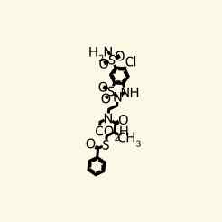 CC(CSC(=O)c1ccccc1)C(=O)N(CCN1Nc2cc(Cl)c(S(N)(=O)=O)cc2S1(=O)=O)CC(=O)O